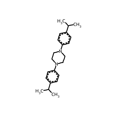 CC(C)c1ccc(N2CCN(c3ccc(C(C)C)cc3)CC2)cc1